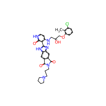 Cc1c(Cl)cccc1OC[C@H](O)CNc1cc[nH]c(=O)c1-c1nc2cc3c(cc2[nH]1)C(=O)N(CCCN1CCCC1)C3=O